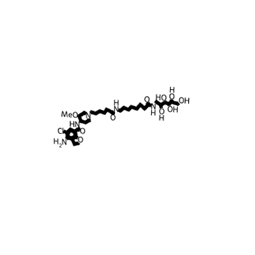 CO[C@H]1CN(CCCCCC(=O)NCCCCCCCC(=O)NCC(O)C(O)C(O)C(O)CO)CC[C@H]1NC(=O)c1cc(Cl)c(N)c2c1OCC2